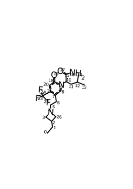 CCC1CN(CCc2cn(C(CC(C)C)C(N)=O)c(=O)cc2C(F)(F)F)C1